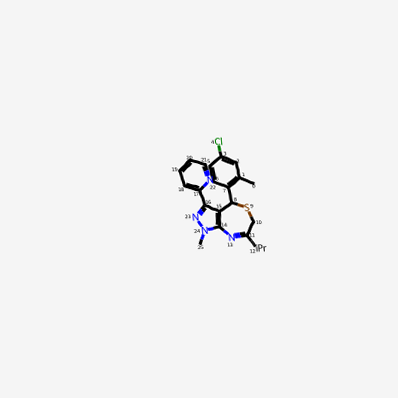 Cc1cc(Cl)ccc1C1SCC(C(C)C)=Nc2c1c(-c1ccccn1)nn2C